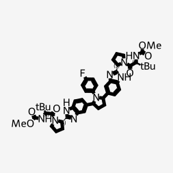 COC(=O)N[C@H](C(=O)N1CCC[C@H]1c1nc2cc(C3CCC(c4ccc5[nH]c([C@@H]6CCCN6C(=O)[C@@H](NC(=O)OC)C(C)(C)C)nc5c4)N3c3ccc(F)cc3)ccc2[nH]1)C(C)(C)C